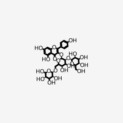 O=c1c(O[C@@H]2OC(CO[C@@H]3OC(O)[C@H](O)C(O)[C@@H]3O)[C@H](O)C(O)[C@@H]2O[C@@H]2OC(CO)[C@@H](O)C(O)[C@@H]2O)c(-c2ccc(O)cc2)oc2cc(O)cc(O)c12